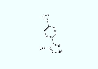 CC(C)(C)c1c[nH]nc1-c1ccc(C2CC2)cc1